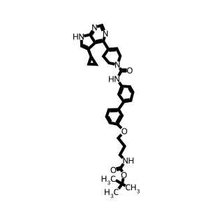 CC(C)(C)OC(=O)NCCCOc1cccc(-c2cccc(NC(=O)N3CC=C(c4ncnc5[nH]cc(C6CC6)c45)CC3)c2)c1